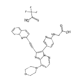 O=C(O)C(F)(F)F.O=C(O)CNc1ccc(-c2c(C#Cc3ccc4ccccc4n3)nc3c(N4CCOCC4)ccnn23)cn1